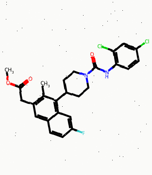 COC(=O)Cc1cc2ccc(F)cc2c(C2CCN(C(=O)Nc3ccc(Cl)cc3Cl)CC2)c1C